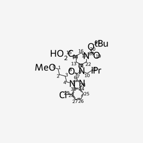 COCCCCn1c(C(=O)N(CC(C)C)[C@H]2C[C@@H](C(=O)O)CN(C(=O)OC(C)(C)C)C2)nc2cccc(Cl)c21